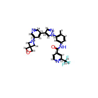 Cc1ccc(NC(=O)c2ccnc(C(F)(F)F)c2)cc1-n1cc(-c2cncc(N3CC4(COC4)C3)c2)cn1